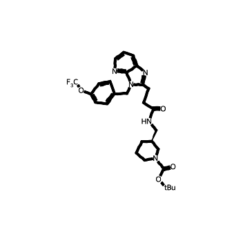 CC(C)(C)OC(=O)N1CCC[C@@H](CNC(=O)CCc2nc3cccnc3n2Cc2ccc(OC(F)(F)F)cc2)C1